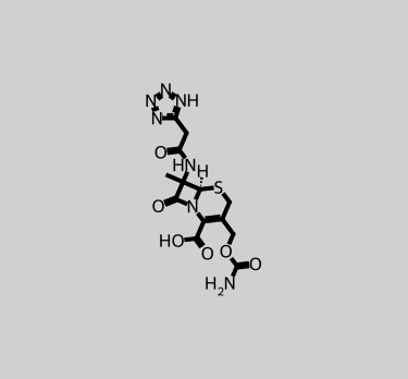 CC1(NC(=O)Cc2nnn[nH]2)C(=O)N2C(C(=O)O)=C(COC(N)=O)CS[C@@H]21